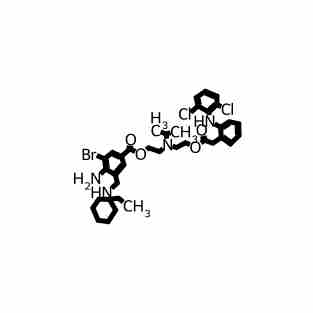 CCC1(NCc2cc(C(=O)OCCN(CCOC(=O)Cc3ccccc3Nc3c(Cl)cccc3Cl)C(C)C)cc(Br)c2N)CCCCC1